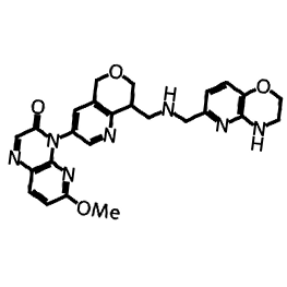 COc1ccc2ncc(=O)n(-c3cnc4c(c3)COCC4CNCc3ccc4c(n3)NCCO4)c2n1